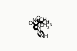 CC(C)(C)C(C=O)c1nc(N2CCNCC2)ccc1C(N)=O